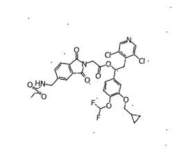 CS(=O)(=O)NCc1ccc2c(c1)C(=O)N(CC(=O)OC(Cc1c(Cl)cncc1Cl)c1ccc(OC(F)F)c(OCC3CC3)c1)C2=O